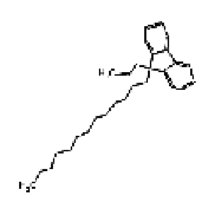 C=CCC1(CCCCCCCCCCCCC)c2ccccc2-c2ccccc21